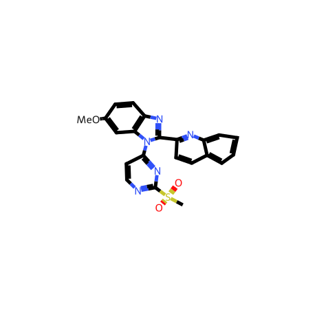 COc1ccc2nc(-c3ccc4ccccc4n3)n(-c3ccnc(S(C)(=O)=O)n3)c2c1